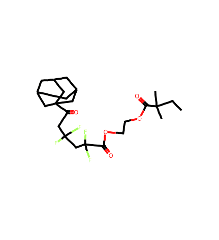 CCC(C)(C)C(=O)OCCOC(=O)C(F)(F)CC(F)(F)CC(=O)C12CC3CC(CC(C3)C1)C2